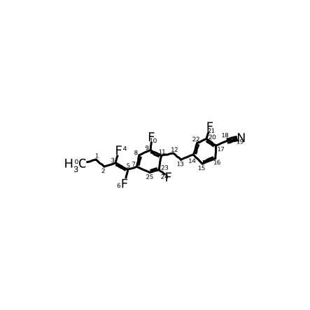 CCCC(F)=C(F)c1cc(F)c(CCc2ccc(C#N)c(F)c2)c(F)c1